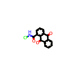 O=C(NCl)c1cccc2c1C(=O)c1ccccc1C2=O